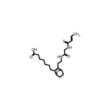 CC=CC(=S)NCC(=O)NCCC1C2CCC(O2)C1CCCCCCC(=O)O